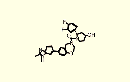 Cc1nc2ccc(-c3ccc4c(c3)CN(C(=O)N3CC[C@H](O)C[C@@H]3c3ccc(F)c(F)c3)CCO4)cc2[nH]1